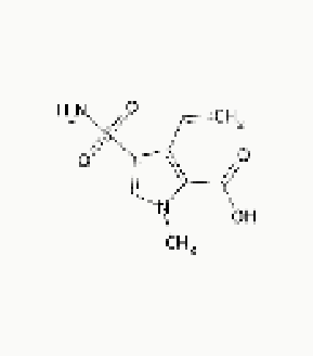 C=Cc1c(S(N)(=O)=O)cn(C)c1C(=O)O